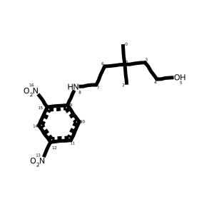 CC(C)(CCO)CCNc1ccc([N+](=O)[O-])cc1[N+](=O)[O-]